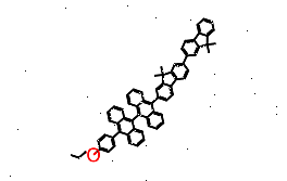 CCCOc1ccc(-c2c3ccccc3c(-c3c4ccccc4c(-c4ccc5c(c4)C(C)(C)c4cc(-c6ccc7c(c6)C(C)(C)c6ccccc6-7)ccc4-5)c4ccccc34)c3ccccc23)cc1